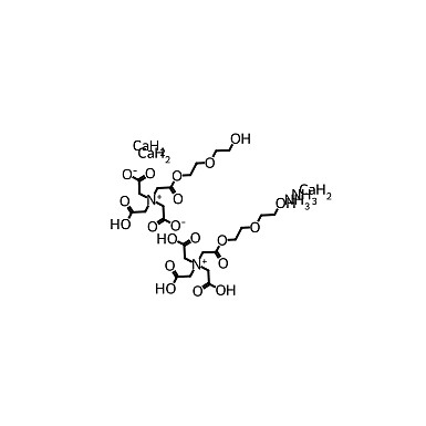 N.N.O=C(O)C[N+](CC(=O)O)(CC(=O)O)CC(=O)OCCOCCO.O=C([O-])C[N+](CC(=O)[O-])(CC(=O)O)CC(=O)OCCOCCO.[CaH2].[CaH2].[CaH2]